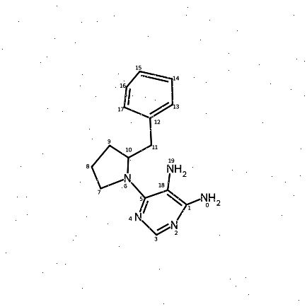 Nc1ncnc(N2CCCC2Cc2ccccc2)c1N